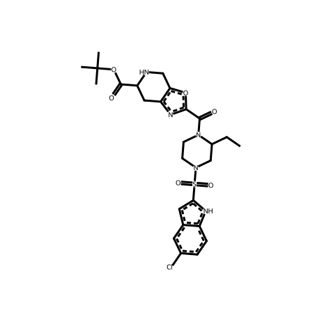 CCC1CN(S(=O)(=O)c2cc3cc(Cl)ccc3[nH]2)CCN1C(=O)c1nc2c(o1)CNC(C(=O)OC(C)(C)C)C2